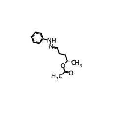 CC(=O)O[C@@H](C)CC/C=N/Nc1ccccc1